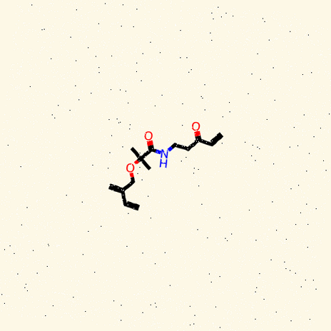 C=CC(=C)COC(C)(C)C(=O)NCCC(=O)C=C